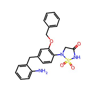 Nc1ccccc1Cc1ccc(N2CC(=O)NS2(=O)=O)c(OCc2ccccc2)c1